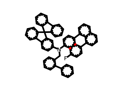 Fc1ccc(-c2cccc3cccc(-c4ccc(N(Cc5ccccc5-c5ccccc5)c5ccc6c(c5)C5(c7ccccc7-c7ccccc75)c5ccccc5-6)cc4)c23)cc1